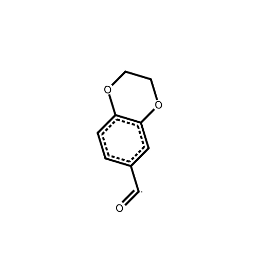 O=[C]c1ccc2c(c1)OCCO2